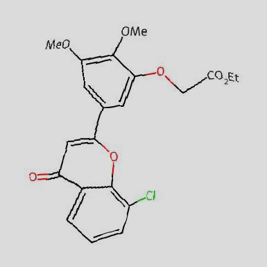 CCOC(=O)COc1cc(-c2cc(=O)c3cccc(Cl)c3o2)cc(OC)c1OC